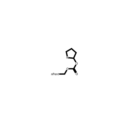 CCCCCCOC(=O)OC1CCC[N]1